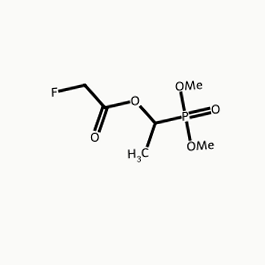 COP(=O)(OC)C(C)OC(=O)CF